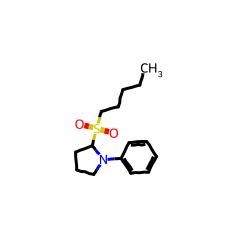 CCCCCS(=O)(=O)C1CCCN1c1ccccc1